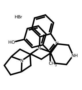 Br.Cc1nc2ccccc2n1C1CC2CCC(C1)N2CCC1(c2cccc(O)c2)CCNCC1